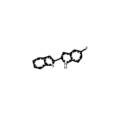 Fc1ccc2[nH]c(-c3cc4ccccc4s3)cc2c1